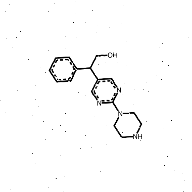 OCC(c1ccccc1)c1cnc(N2CCNCC2)nc1